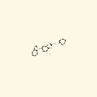 Cl.Cl.c1ccc(OCc2nc3cc(-n4cnc5ccccc54)ccc3[nH]2)cc1